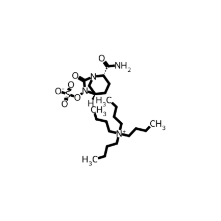 CCCC[N+](CCCC)(CCCC)CCCC.NC(=O)[C@@H]1CC[C@H]2CN1C(=O)N2OS(=O)(=O)[O-]